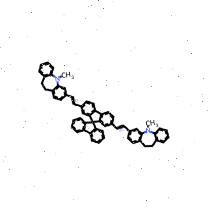 CN1c2ccccc2CCc2ccc(/C=C/c3ccc4c(c3)C3(c5ccccc5-c5ccccc53)c3cc(/C=C/c5ccc6c(c5)N(C)c5ccccc5CC6)ccc3-4)cc21